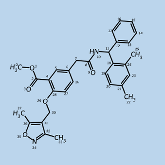 COC(=O)c1cc(CC(=O)NC(c2ccccc2)c2ccc(C)cc2C)ccc1OCc1c(C)noc1C